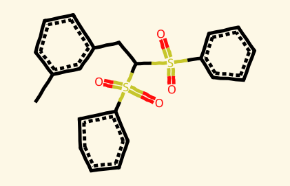 Cc1cccc(CC(S(=O)(=O)c2ccccc2)S(=O)(=O)c2ccccc2)c1